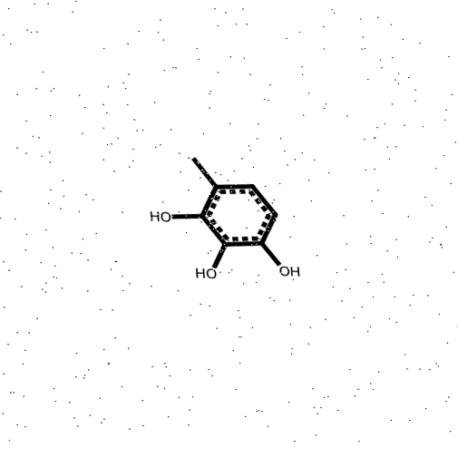 [CH2]c1ccc(O)c(O)c1O